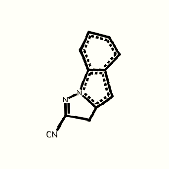 [C-]#[N+]C1=Nn2c(cc3ccccc32)C1